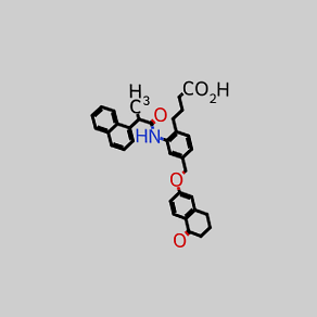 CC(C(=O)Nc1cc(COc2ccc3c(c2)CCCC3=O)ccc1CCCC(=O)O)c1cccc2ccccc12